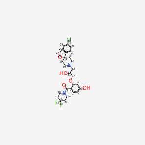 O=C(c1ccc(O)cc1OC[C@H](O)CN1CCC2(CC1)OCc1cc(Cl)ccc12)N1CCC(F)(F)CC1